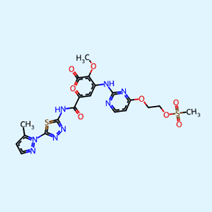 COc1c(Nc2nccc(OCCOS(C)(=O)=O)n2)cc(C(=O)Nc2nnc(-n3nccc3C)s2)oc1=O